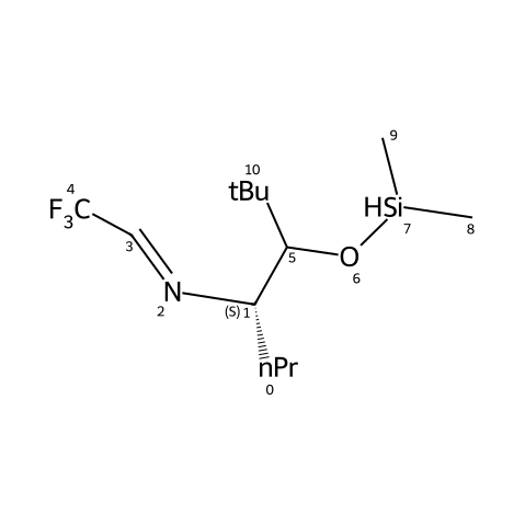 CCC[C@H](N=CC(F)(F)F)C(O[SiH](C)C)C(C)(C)C